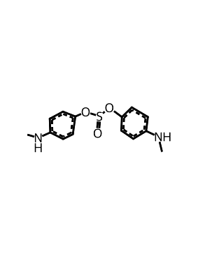 CNc1ccc(OS(=O)Oc2ccc(NC)cc2)cc1